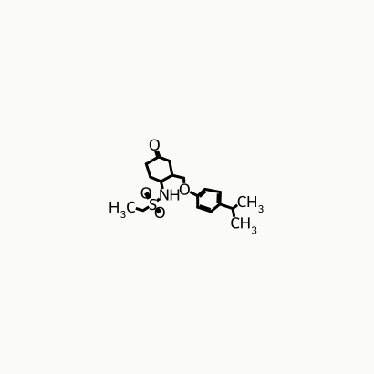 CCS(=O)(=O)NC1CCC(=O)CC1COc1ccc(C(C)C)cc1